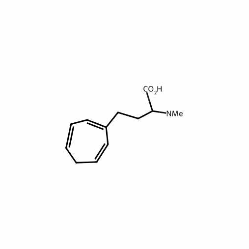 CNC(CCC1=CC=CCC=C1)C(=O)O